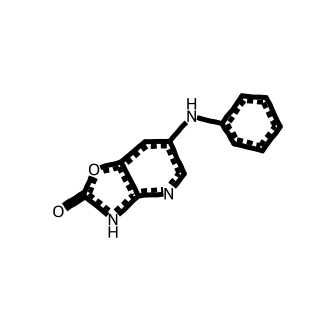 O=c1[nH]c2ncc(Nc3ccccc3)cc2o1